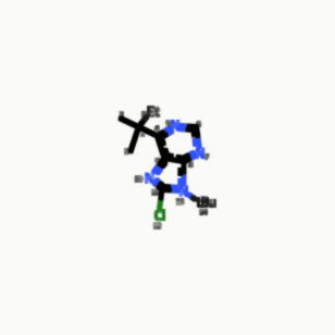 CCC(C)(C)c1ncnc2c1nc(Cl)n2C(C)(C)C